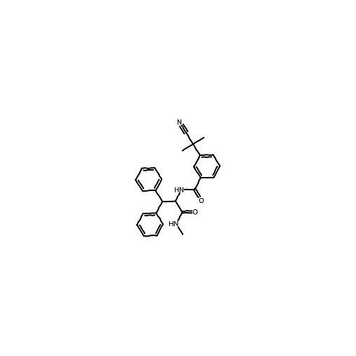 CNC(=O)C(NC(=O)c1cccc(C(C)(C)C#N)c1)C(c1ccccc1)c1ccccc1